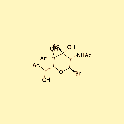 CC(=O)N[C@@H]1[C@@H](Br)O[C@H](C(O)C(C)=O)[C@](O)(C(C)=O)[C@@]1(O)C(C)=O